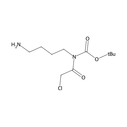 CC(C)(C)OC(=O)N(CCCCN)C(=O)CCl